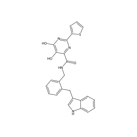 O=C(NCc1ccccc1Cc1c[nH]c2ccccc12)c1nc(-c2cccs2)nc(O)c1O